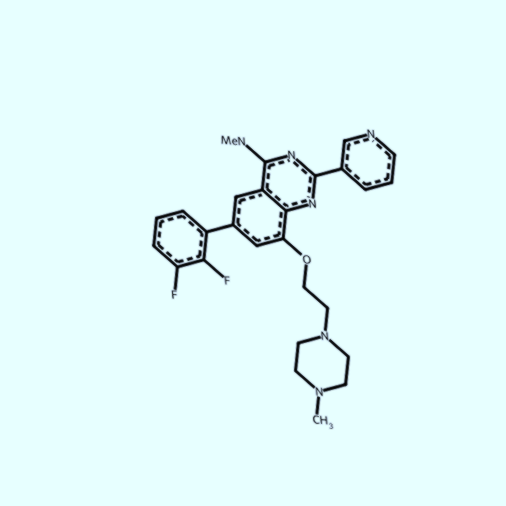 CNc1nc(-c2cccnc2)nc2c(OCCN3CCN(C)CC3)cc(-c3cccc(F)c3F)cc12